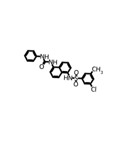 Cc1cc(Cl)cc(S(=O)(=O)Nc2cccc3c(NC(=O)Nc4ccccc4)cccc23)c1